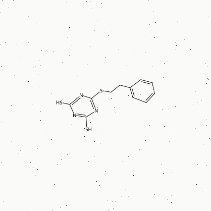 Sc1nc(S)nc(SCCc2ccccc2)n1